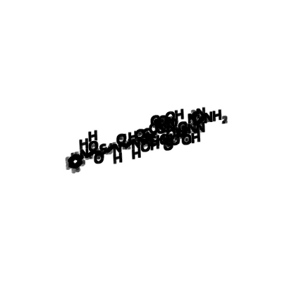 CC(C)(COP(=O)(O)OP(=O)(O)OC[C@H]1O[C@@H](n2cnc3c(N)ncnc32)[C@H](O)[C@@H]1OP(=O)(O)O)[C@@H](O)C(=O)NCCC(=O)NCCSC(=O)C(O)CNc1ccccc1